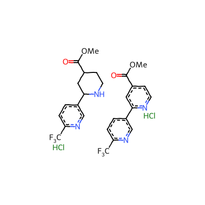 COC(=O)C1CCNC(c2ccc(C(F)(F)F)nc2)C1.COC(=O)c1ccnc(-c2ccc(C(F)(F)F)nc2)c1.Cl.Cl